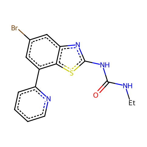 CCNC(=O)Nc1nc2cc(Br)cc(-c3ccccn3)c2s1